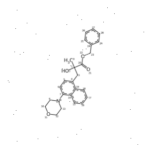 CC(O)(Cc1ccc(N2CCOCC2)c2ccccc12)C(=O)OCc1ccccc1